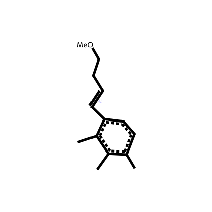 [CH2]OCC/C=C/c1ccc(C)c(C)c1C